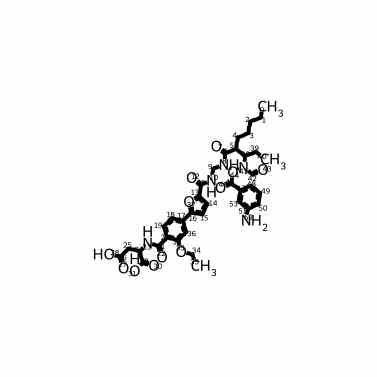 CCCCCC(C(=O)NCNC(=O)c1ccc(-c2ccc(C(=O)NC(CC(=O)O)C(=O)O)c(OCC)c2)o1)C(CC)N(C=O)OC(=O)c1cccc(N)c1